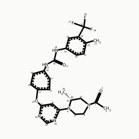 CC(=O)N1CCN(c2cc(Oc3ccc(NC(=O)Nc4ccc(C)c(C(F)(F)F)c4)cc3)ncn2)[C@H](C)C1